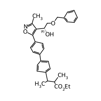 CCOC(=O)C(C)C(C)c1ccc(-c2ccc(-c3onc(C)c3[C@@H](O)COCc3ccccc3)cc2)cc1